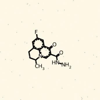 CC1CCc2cc(F)cc3c(=O)c(C(=O)NN)cn1c23